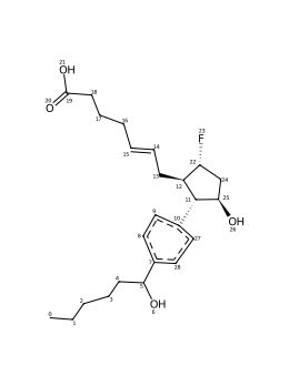 CCCCCC(O)c1ccc([C@@H]2[C@@H](CC=CCCCC(=O)O)[C@H](F)C[C@H]2O)cc1